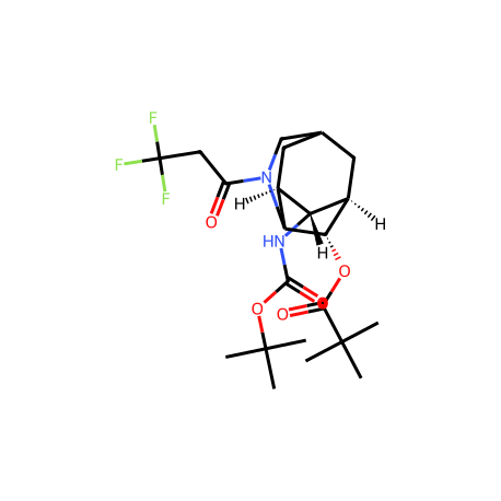 CC(C)(C)OC(=O)N[C@H]1[C@H]2CC3C[C@@H]1C([C@H]2OC(=O)C(C)(C)C)N(C(=O)CC(F)(F)F)C3